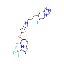 Cc1c(OC2CC3(C2)CN(CCCc2cc4nncn4cc2F)C3)ccc2cnc(C(F)(F)F)n12